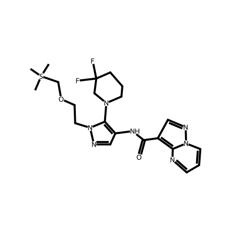 CS(C)(C)COCCn1ncc(NC(=O)c2cnn3cccnc23)c1N1CCCC(F)(F)C1